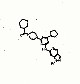 CC(C)n1ncc2cnc(Nc3cc(N4CCCC4)nc(N4CCN(C(=O)C5CCCCC5)CC4)n3)cc21